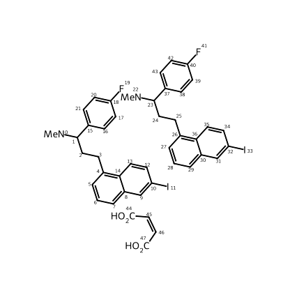 CNC(CCc1cccc2cc(I)ccc12)c1ccc(F)cc1.CNC(CCc1cccc2cc(I)ccc12)c1ccc(F)cc1.O=C(O)/C=C\C(=O)O